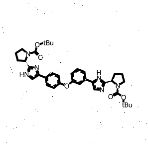 CC(C)(C)OC(=O)N1CCC[C@@H]1c1ncc(-c2cccc(Oc3ccc(-c4c[nH]c([C@@H]5CCCN5C(=O)OC(C)(C)C)n4)cc3)c2)[nH]1